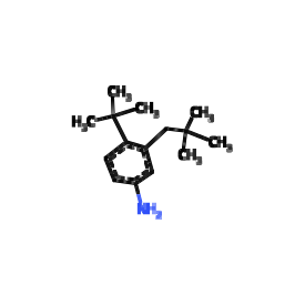 CC(C)(C)Cc1cc(N)ccc1C(C)(C)C